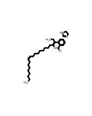 C1=NCCN1.CCCCCCCC/C=C\CCCCCCCC/C(O)=C(\CC)c1ccccc1CCl